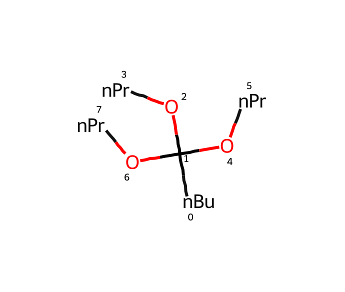 CCCCC(OCCC)(OCCC)OCCC